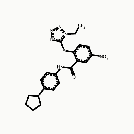 O=C(Nc1ccc(C2CCCC2)cc1)c1cc([N+](=O)[O-])ccc1Sc1nnnn1CC(F)(F)F